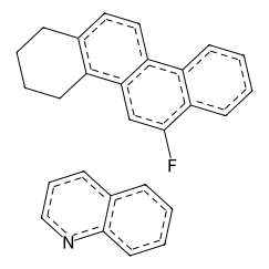 Fc1cc2c3c(ccc2c2ccccc12)CCCC3.c1ccc2ncccc2c1